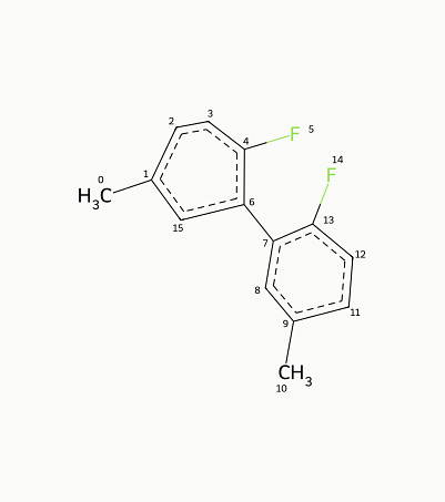 Cc1ccc(F)c(-c2cc(C)ccc2F)c1